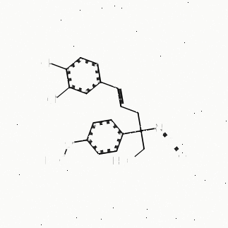 CCC(CC=Cc1ccc(Cl)c(Cl)c1)(N=C=O)c1ccc(OC)cc1